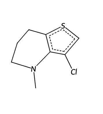 CN1CCCc2scc(Cl)c21